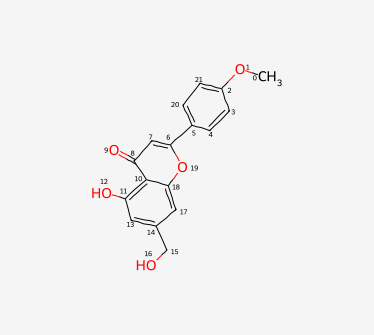 COc1ccc(-c2cc(=O)c3c(O)cc(CO)cc3o2)cc1